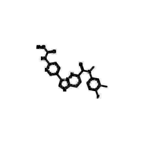 COC(=O)Nc1ccc(-c2cnc3ccc(C(=O)N(C)c4ccc(F)c(C)c4)nn23)cn1